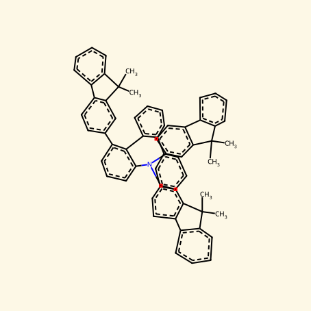 CC1(C)c2ccccc2-c2ccc(-c3cccc(N(c4ccc5c(c4)C(C)(C)c4ccccc4-5)c4ccc5c(c4)C(C)(C)c4ccccc4-5)c3-c3ccccc3-c3ccccc3)cc21